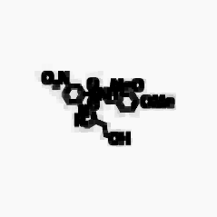 COc1ccc(CNS(=O)(=O)c2cc([N+](=O)[O-])ccc2-n2cc(CCO)cn2)c(OC)c1